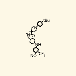 CN(CC1CCC(Nc2ccc(N=O)c(C(F)(F)F)c2)CC1)C(=O)C1(C)CCN(c2ccc(C(C)(C)C)cc2)CC1